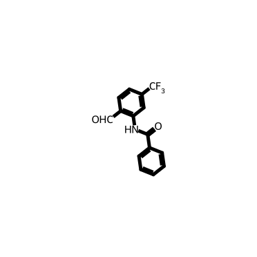 O=Cc1ccc(C(F)(F)F)cc1NC(=O)c1ccccc1